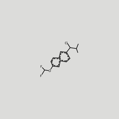 CC(C)C(Cl)c1ccc2cc(OC(F)F)ccc2c1